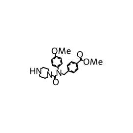 COC(=O)c1ccc(CN(C(=O)N2CCNCC2)c2ccc(OC)cc2)cc1